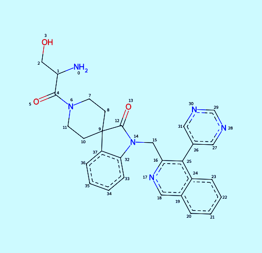 NC(CO)C(=O)N1CCC2(CC1)C(=O)N(Cc1ncc3ccccc3c1-c1cncnc1)c1ccccc12